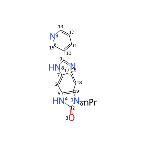 CCCn1c(=O)[nH]c2cc3[nH]c(-c4cccnc4)nc3cc21